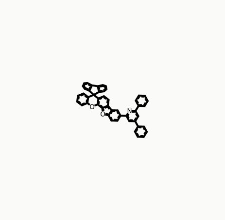 c1ccc(-c2cc(-c3ccccc3)nc(-c3ccc4oc5c6c(ccc5c4c3)C3(c4ccccc4O6)c4ccccc4-c4ccccc43)c2)cc1